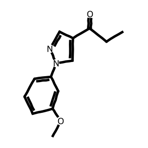 CCC(=O)c1cnn(-c2cccc(OC)c2)c1